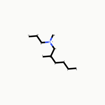 CCCCC(C)CN(C)CCC